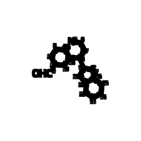 O=Cc1ccc2nccc(-c3cc4ccccc4s3)c2c1